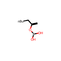 C=C(CCCCC)OB(O)O